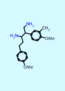 COc1ccc(CCC(N)C(CN)c2ccc(OC)c(C)c2)cc1